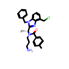 Cc1ccc(C(=O)N(CCCN)[C@@H](c2nc3c(CCl)cccc3n2Cc2ccccc2)C(C)C)cc1